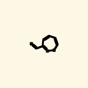 O=CC1=NOC=CC=C1